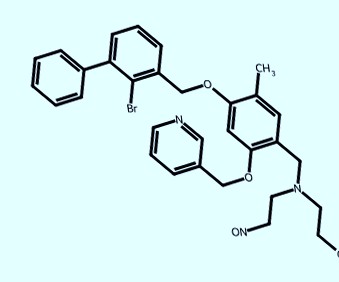 Cc1cc(CN(CCO)CCN=O)c(OCc2cccnc2)cc1OCc1cccc(-c2ccccc2)c1Br